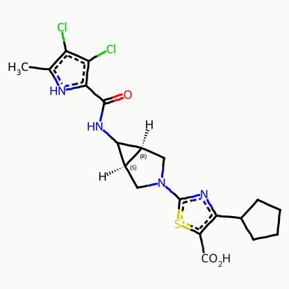 Cc1[nH]c(C(=O)NC2[C@H]3CN(c4nc(C5CCCC5)c(C(=O)O)s4)C[C@@H]23)c(Cl)c1Cl